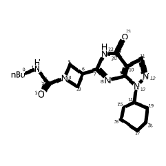 CCCCNC(=O)N1CC(c2nc3c(cnn3C3CCCCC3)c(=O)[nH]2)C1